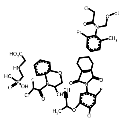 C#CC(C)Oc1cc(N2C(=O)C3=C(CCCC3)C2=O)c(F)cc1Cl.CC1COc2ccccc2N1C(=O)C(Cl)Cl.CCOCN(C(=O)CCl)c1c(C)cccc1CC.O=C(O)CNCP(=O)(O)O